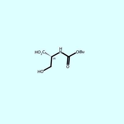 CC(C)COC(=O)N[C@H](CO)C(=O)O